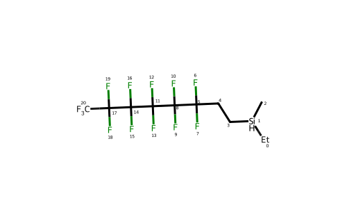 CC[SiH](C)CCC(F)(F)C(F)(F)C(F)(F)C(F)(F)C(F)(F)C(F)(F)F